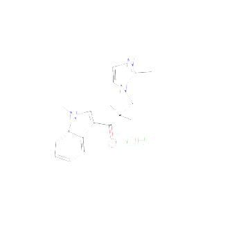 Cc1nccn1CC(C)(C)C(=O)c1cn(C)c2ccccc12.Cl